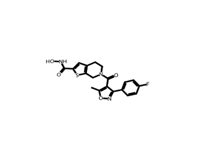 Cc1onc(-c2ccc(F)cc2)c1C(=O)N1CCc2cc(C(=O)NO)sc2C1